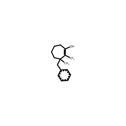 CC1(Cc2ccccc2)CCCCC(O)=C1C(F)(F)F